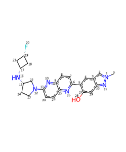 Cn1cc2cc(-c3ccc4nc(N5CC[C@H](N[C@H]6C[C@@H](F)C6)C5)ccc4n3)c(O)cc2n1